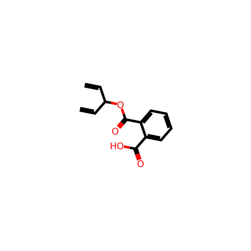 C=CC(C=C)OC(=O)c1ccccc1C(=O)O